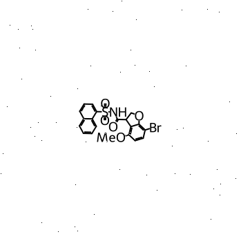 COc1ccc(Br)c2c1C(C(=O)NS(=O)(=O)c1cccc3ccccc13)CO2